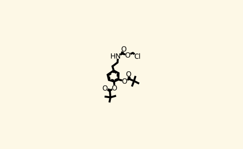 CC(C)(C)C(=O)Oc1ccc(CCNC(=O)OCCl)cc1OC(=O)C(C)(C)C